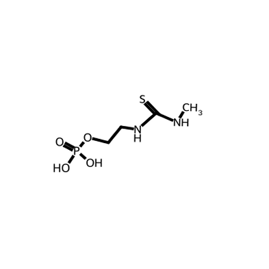 CNC(=S)NCCOP(=O)(O)O